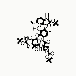 CC[C@@H]1CCC(NC(=O)OC(C)(C)C)[C@@H](OC2C(O)C(O[C@H]3OCC(C)(O)[C@H](N(C)C(=O)OC(C)(C)C)C3O)[C@H](NC(=O)C3(O)CN(C(=O)OC(C)(C)C)C3)C[C@@H]2C)O1